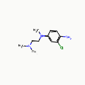 CN(C)CCN(C)c1ccc(N)c(Cl)c1